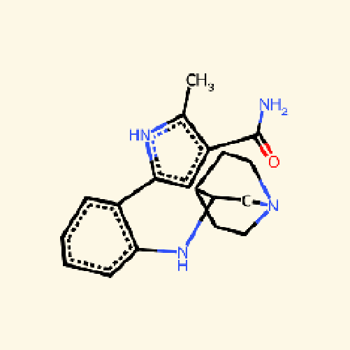 Cc1[nH]c(-c2ccccc2NC2CN3CCC2CC3)cc1C(N)=O